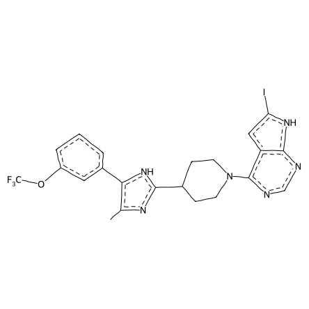 Cc1nc(C2CCN(c3ncnc4[nH]c(I)cc34)CC2)[nH]c1-c1cccc(OC(F)(F)F)c1